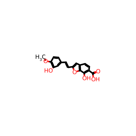 COc1ccc(/C=C/c2cc3ccc(C(=O)O)c(O)c3o2)cc1O